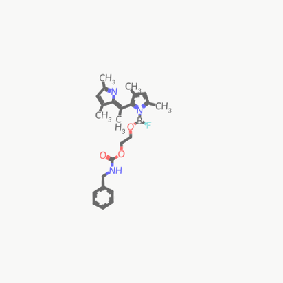 CC1=CC(C)=N/C1=C(/C)c1c(C)cc(C)n1B(F)OCCOC(=O)NCc1ccccc1